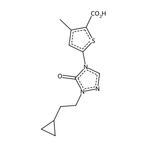 Cc1cc(-n2cnn(CCC3CC3)c2=O)sc1C(=O)O